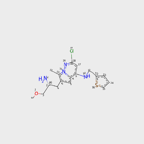 COC[C@H](N)Cc1cc2c(NCc3cccs3)cc(Cl)nn2c1C